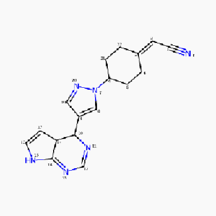 N#CC=C1CCC(n2cc(C3N=CN=C4NC=CC43)cn2)CC1